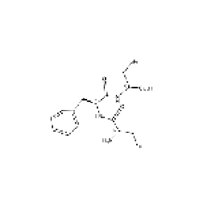 CC(C)C[C@H](NC(=O)[C@H](Cc1ccccc1)NC(=O)[C@@H](N)CC(C)C)C(=O)O